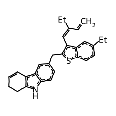 C=C/C(=C\c1c(Cc2ccc3[nH]c4c(c3c2)C=CCC4)sc2ccc(CC)cc12)CC